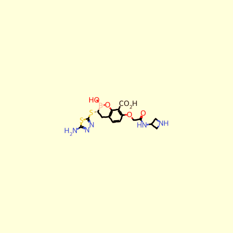 Nc1nnc(S[C@H]2Cc3ccc(OCC(=O)NC4CNC4)c(C(=O)O)c3OB2O)s1